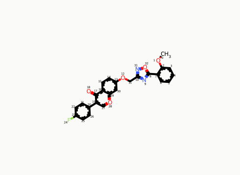 COc1ccccc1-c1nc(COc2ccc3c(=O)c(-c4ccc(F)cc4)coc3c2)no1